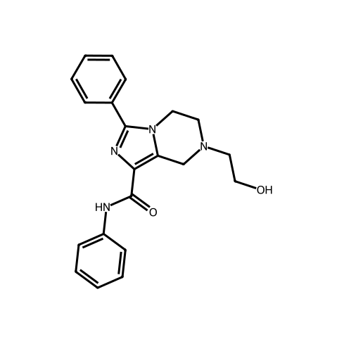 O=C(Nc1ccccc1)c1nc(-c2ccccc2)n2c1CN(CCO)CC2